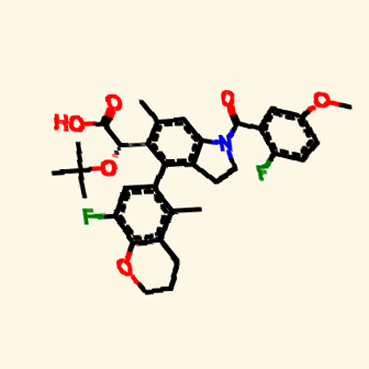 COc1ccc(F)c(C(=O)N2CCc3c2cc(C)c([C@H](OC(C)(C)C)C(=O)O)c3-c2cc(F)c3c(c2C)CCCO3)c1